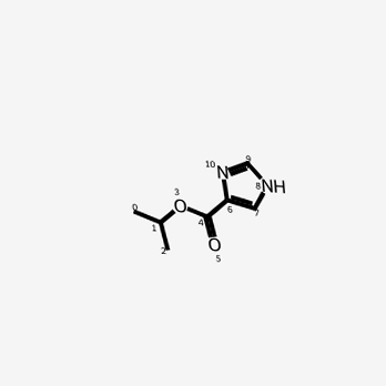 CC(C)OC(=O)c1c[nH][c]n1